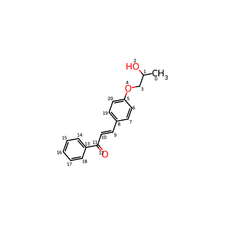 CC(O)COc1ccc(C=CC(=O)c2ccccc2)cc1